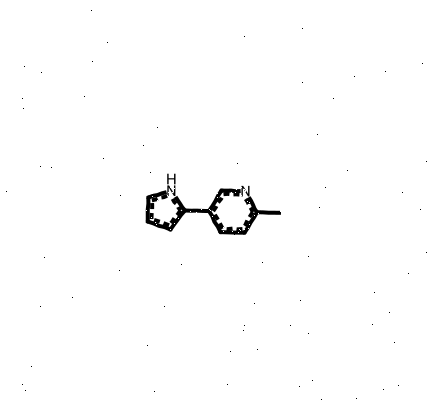 Cc1ccc(-c2ccc[nH]2)cn1